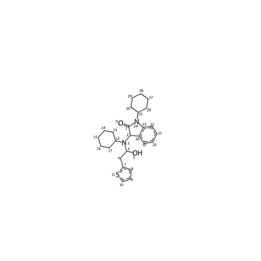 O=C1C(N(C(O)Cc2cccs2)C2CCCCC2)c2ccccc2N1C1CCCCC1